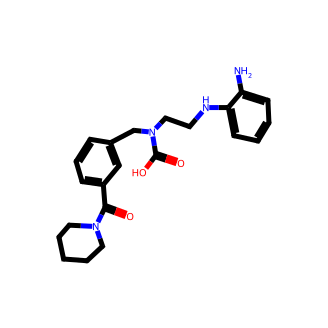 Nc1ccccc1NCCN(Cc1cccc(C(=O)N2CCCCC2)c1)C(=O)O